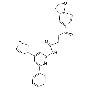 O=C(CCC(=O)c1ccc2c(c1)CCO2)Nc1cc(-c2ccoc2)cc(-c2ccccc2)n1